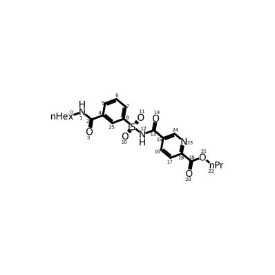 CCCCCCNC(=O)c1cccc(S(=O)(=O)NC(=O)c2ccc(C(=O)OCCC)nc2)c1